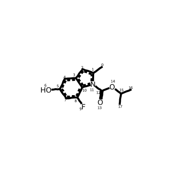 Cc1cc2cc(O)cc(F)c2n1C(=O)OC(C)C